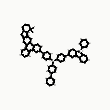 CC1(C)C=CC=C2C=c3cc4c5ccccc5c5cc(-c6ccc(N(c7ccc(-c8ccccc8)cc7)c7ccc(-c8ccc9c(c8)c8ccccc8n9-c8ccccc8)cc7)cc6)ccc5c4cc3=C21